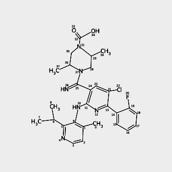 Cc1ccnc(C(C)C)c1Nc1nc(-c2ccccc2F)c(Cl)cc1C(=N)N1CC(C)N(C(=O)O)CC1C